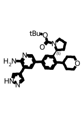 CC(C)(C)OC(=O)N1CCC[C@H]1c1cc(-c2cnc(N)c(-c3cn[nH]c3)c2)ccc1C1CCOCC1